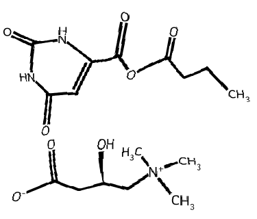 CCCC(=O)OC(=O)c1cc(=O)[nH]c(=O)[nH]1.C[N+](C)(C)C[C@H](O)CC(=O)[O-]